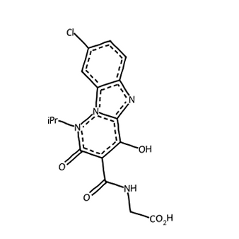 CC(C)n1c(=O)c(C(=O)NCC(=O)O)c(O)c2nc3ccc(Cl)cc3n21